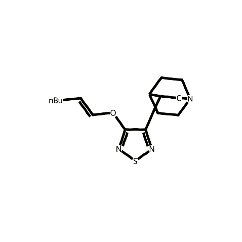 CCCCC=COc1nsnc1C1CN2CCC1CC2